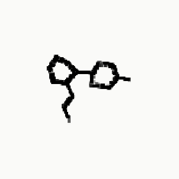 Cc1ccc(-c2ccccc2/C=C/I)cc1